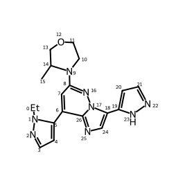 CCn1nccc1-c1cc(N2CCOCC2C)nn2c(-c3ccn[nH]3)cnc12